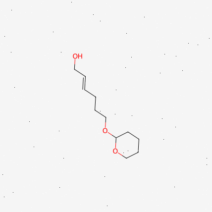 OC/C=C/CCCOC1CCCCO1